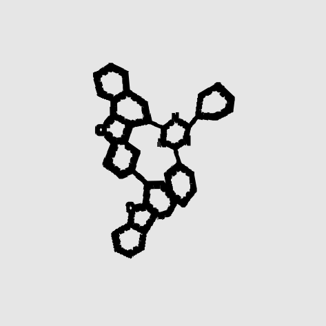 c1ccc(-c2nc(-c3ccccc3)nc(-c3cc4ccccc4c4oc5ccc(-c6cccc7c6oc6ccccc67)cc5c34)n2)cc1